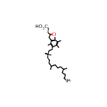 Cc1c(C)c(CCC(C)(C)CCCC(C)CCCC(C)CCCC(C)C)c(C)c(CC(=O)CCC(=O)O)c1C